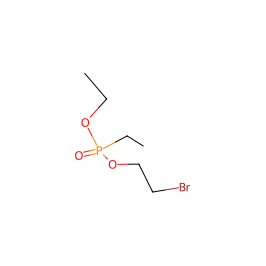 CCOP(=O)(CC)OCCBr